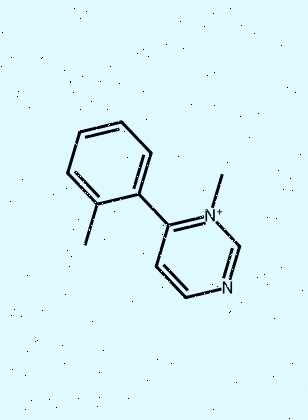 Cc1ccccc1-c1ccnc[n+]1C